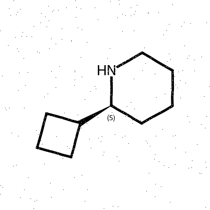 C1CC[C@@H](C2CCC2)NC1